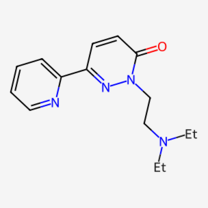 CCN(CC)CCn1nc(-c2ccccn2)ccc1=O